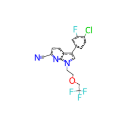 N#Cc1ccc2c(-c3ccc(Cl)c(F)c3)cn(CCOCC(F)(F)F)c2n1